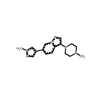 CN1CCN(c2cnn3cc(-c4cnn(C)c4)ccc23)CC1